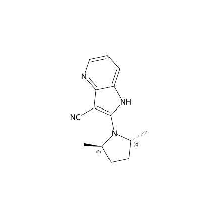 C[C@@H]1CC[C@@H](C)N1c1[nH]c2cccnc2c1C#N